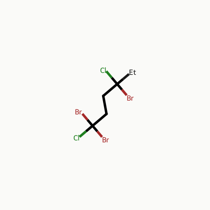 [CH2]CC(Cl)(Br)CCC(Cl)(Br)Br